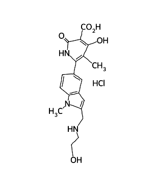 Cc1c(-c2ccc3c(c2)cc(CNCCO)n3C)[nH]c(=O)c(C(=O)O)c1O.Cl